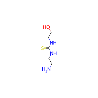 NCCNC(=S)NCCO